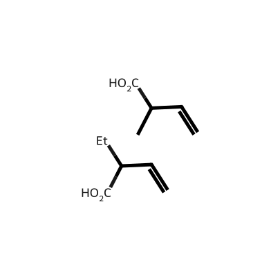 C=CC(C)C(=O)O.C=CC(CC)C(=O)O